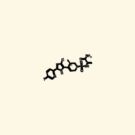 C=C(NS(=O)(=O)N1CC=C(c2[nH]c(-c3ccc(F)cn3)nc2Cl)[C@@H](C)C1)C(N)=O